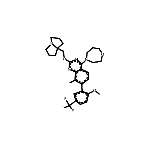 COc1ccc(C(F)(F)F)cc1-c1ccc2c(N3CCCOCC3)nc(OCC34CCCN3CCC4)nc2c1C